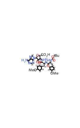 COc1ccc(C[C@H](NC(=O)OC(C)(C)C)C(=O)N[C@@H](Cc2ccc(OC)cc2)C(=O)N[C@H]2[C@@H](O)[C@H](n3cnc4c(N)ncnc43)O[C@@H]2C(=O)O)cc1